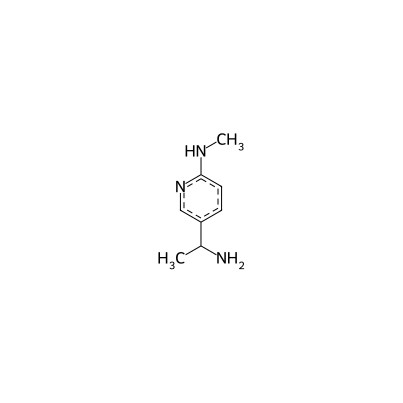 CNc1ccc(C(C)N)cn1